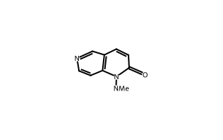 CNn1c(=O)ccc2cnccc21